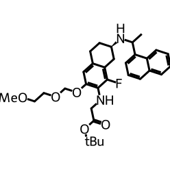 COCCOCOc1cc2c(c(F)c1NCC(=O)OC(C)(C)C)C[C@H](NC(C)c1cccc3ccccc13)CC2